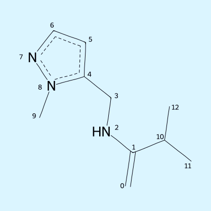 C=C(NCc1ccnn1C)C(C)C